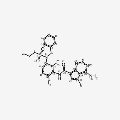 CCCS(=O)(=O)N(Cc1ccccc1)c1ccc(F)c(NC(=O)c2cn(C)c3c(N)ncnc23)c1F